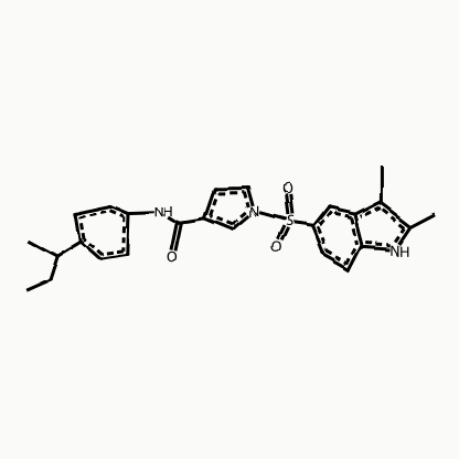 CCC(C)c1ccc(NC(=O)c2ccn(S(=O)(=O)c3ccc4[nH]c(C)c(C)c4c3)c2)cc1